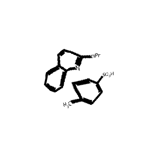 CCCc1ccc2ccccc2n1.Cc1ccc(S(=O)(=O)O)cc1